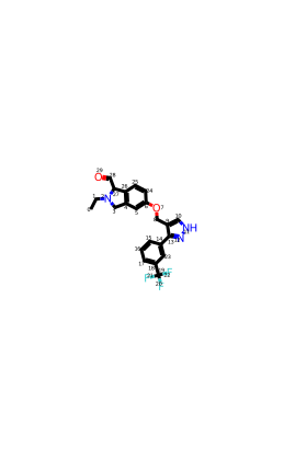 CCN1Cc2cc(OCc3c[nH]nc3-c3cccc(C(F)(F)F)c3)ccc2C1C=O